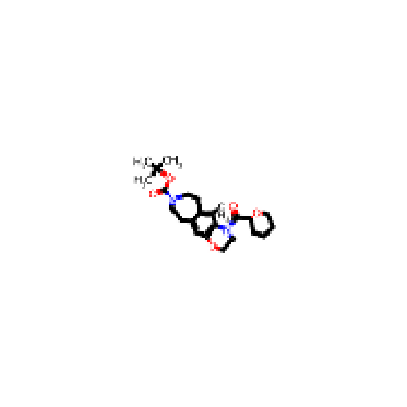 Cc1c2c(cc3c1N(C(=O)C1CCCCO1)CCO3)CCN(C(=O)OC(C)(C)C)CC2